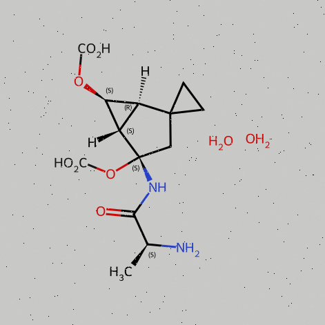 C[C@H](N)C(=O)N[C@]1(OC(=O)O)CC2(CC2)[C@@H]2[C@H](OC(=O)O)[C@H]21.O.O